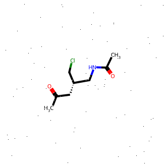 CC(=O)C[C@H](CCl)CNC(C)=O